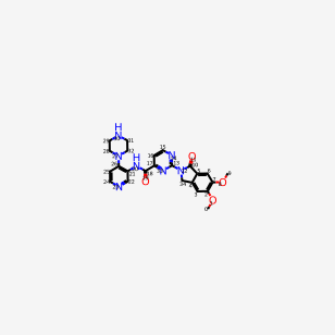 COc1cc2c(cc1OC)C(=O)N(c1nccc(C(=O)Nc3cnccc3N3CCNCC3)n1)C2